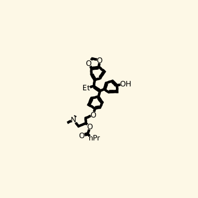 CCCC(=O)OC(COc1ccc(C(=C(CC)c2ccc3c(c2)OCO3)c2ccc(O)cc2)cc1)CN(C)C